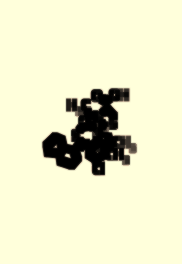 CC(=O)N1[C@@H](C(=O)O)CS[C@@H]1[N@@+]1(CC(C)(C)C)C(=O)CSC(c2cccc3ccccc23)c2cc(Cl)ccc21